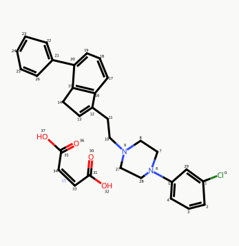 Clc1cccc(N2CCN(CCC3=CCc4c3cccc4-c3ccccc3)CC2)c1.O=C(O)/C=C\C(=O)O